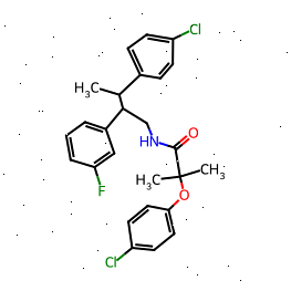 CC(c1ccc(Cl)cc1)C(CNC(=O)C(C)(C)Oc1ccc(Cl)cc1)c1cccc(F)c1